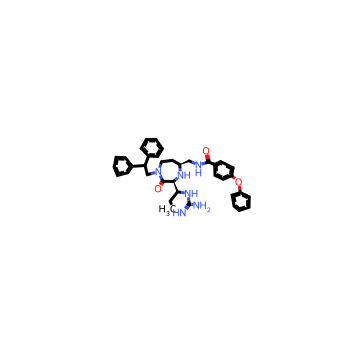 CCC(NC(=N)N)[C@@H]1N[C@H](CNC(=O)c2ccc(Oc3ccccc3)cc2)CCN(CC(c2ccccc2)c2ccccc2)C1=O